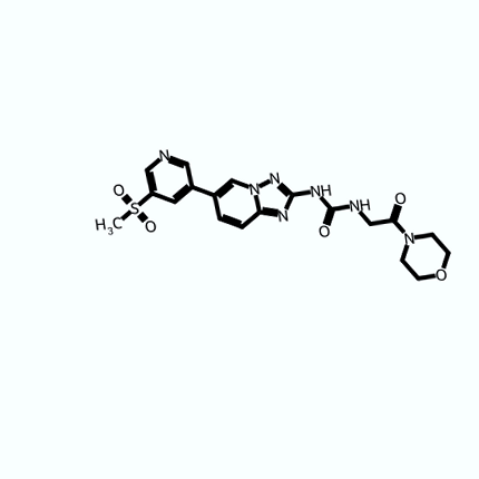 CS(=O)(=O)c1cncc(-c2ccc3nc(NC(=O)NCC(=O)N4CCOCC4)nn3c2)c1